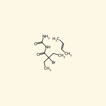 C/C=C/C.CCC(Br)(CC)C(=O)NC(N)=O